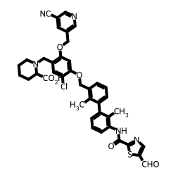 Cc1c(COc2cc(OCc3cncc(C#N)c3)c(CN3CCCCC3C(=O)O)cc2Cl)cccc1-c1cccc(NC(=O)c2ncc(C=O)s2)c1C